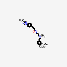 COc1ccc(CCN(C)CCCNC(=O)C/C=C/c2ccc(-n3cnc(C)c3)cc2)cc1OC